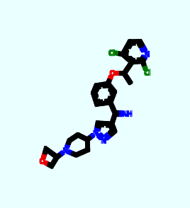 CC(Oc1cccc(C(=N)c2cnn(C3CCN(C4COC4)CC3)c2)c1)c1c(Cl)ccnc1Cl